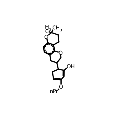 CCCOC1=CCC(C2COc3c(ccc4c3CCC(C)(C)O4)C2)C(O)=C1